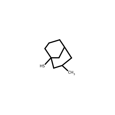 CC1CC2CCCC(S)(C1)C2